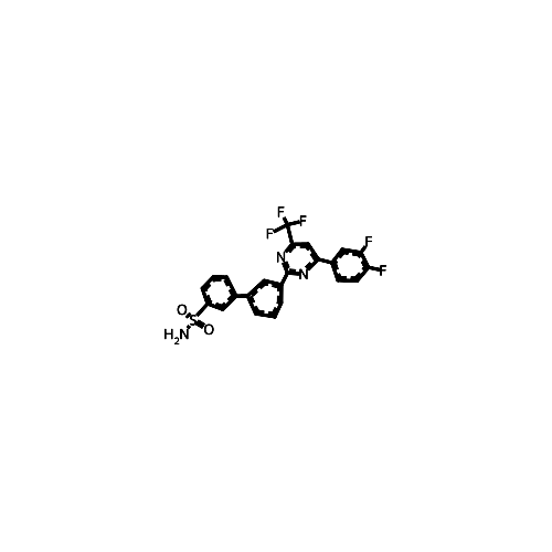 NS(=O)(=O)c1cccc(-c2cccc(-c3nc(-c4ccc(F)c(F)c4)cc(C(F)(F)F)n3)c2)c1